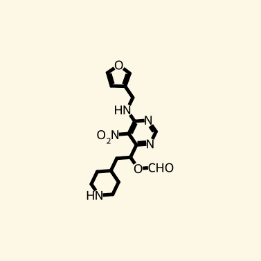 O=COC(CC1CCNCC1)c1ncnc(NCc2ccoc2)c1[N+](=O)[O-]